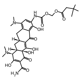 CN(C)c1cc(NC(=O)OCOC(=O)CC(C)(C)C)c(O)c2c1C[C@H]1C[C@H]3[C@H](N(C)C)C(O)=C(C(N)=O)C(=O)[C@@]3(O)C(O)=C1C2=O